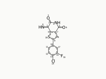 N=C1C(=O)NC(=O)c2cc(-c3ccc(Cl)c(F)c3)sc21